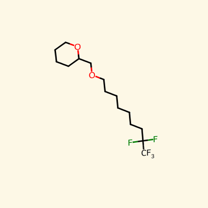 FC(F)(F)C(F)(F)CCCCCCCOCC1CCCCO1